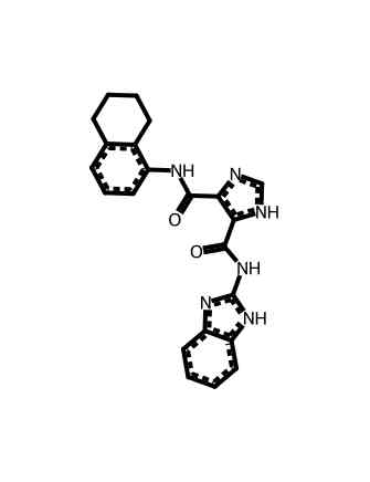 O=C(Nc1cccc2c1CCCC2)c1nc[nH]c1C(=O)Nc1nc2ccccc2[nH]1